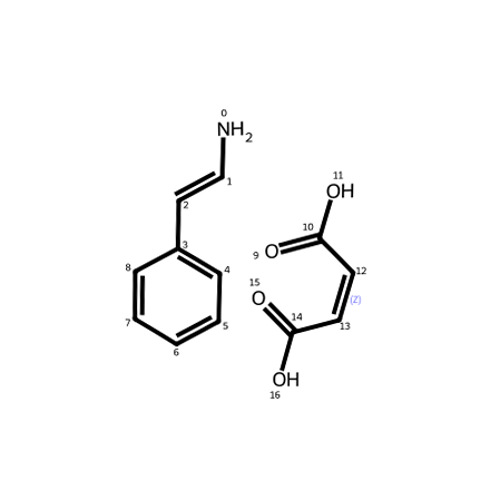 NC=Cc1ccccc1.O=C(O)/C=C\C(=O)O